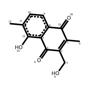 CC1=C(CO)C(=O)c2c(ccc(C)c2O)C1=O